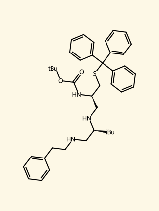 CCC(C)[C@@H](CNCCc1ccccc1)NC[C@H](CSC(c1ccccc1)(c1ccccc1)c1ccccc1)NC(=O)OC(C)(C)C